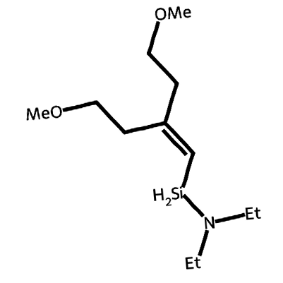 CCN(CC)[SiH2]C=C(CCOC)CCOC